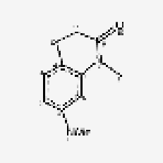 CNc1ccc2c(c1)N(C)C(=O)CC2